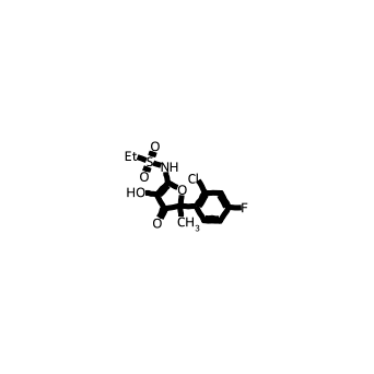 CCS(=O)(=O)NC1=C(O)C(=O)C(C)(c2ccc(F)cc2Cl)O1